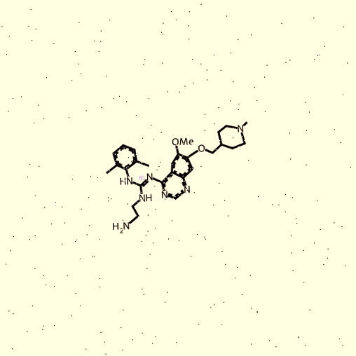 COc1cc2c(/N=C(\NCCN)Nc3c(C)cccc3C)ncnc2cc1OCC1CCN(C)CC1